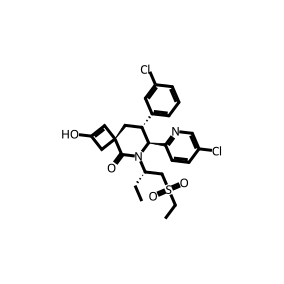 CC[C@@H](CS(=O)(=O)CC)N1C(=O)[C@]2(C=C(O)C2)C[C@H](c2cccc(Cl)c2)[C@H]1c1ccc(Cl)cn1